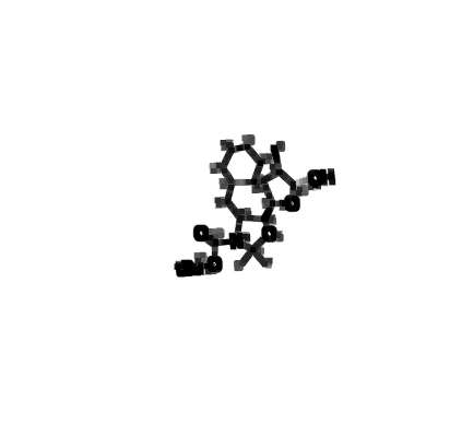 C[C@@H]1C[C@H](C2OC(C)(C)N(C(=O)OC(C)(C)C)C2CC2CCCCC2)O[C@H]1O